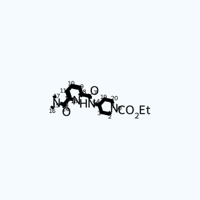 CCOC(=O)N1CCC(NC(=O)c2cccc(C(=O)N(C)C)n2)CC1